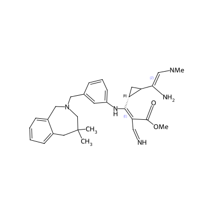 CN/C=C(\N)C1C[C@H]1/C(Nc1cccc(CN2Cc3ccccc3CC(C)(C)C2)c1)=C(/C=N)C(=O)OC